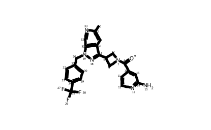 Cc1cc2c(C3CN(C(=O)c4ccnc(N)c4)C3)nn(Cc3ccc(C(F)(F)F)cc3)c2cn1